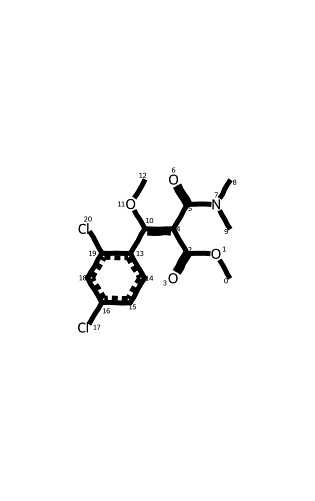 COC(=O)C(C(=O)N(C)C)=C(OC)c1ccc(Cl)cc1Cl